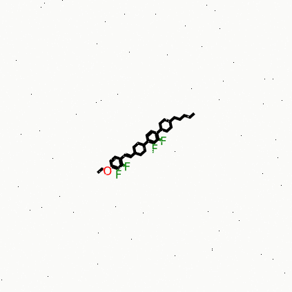 CCCCCC1CCC(c2ccc(C3CCC(/C=C/c4ccc(OCC)c(F)c4F)CC3)c(F)c2F)CC1